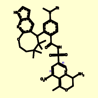 BC1COC(C)=C(/C(=C\C(=C/C)S(=O)(=O)NC(=O)c2ccc(N(C)CC)cc2N2c3cc4cc[nH]c4nc3OCCC(C)(C)C2(C)C)[N+](=O)[O-])N1